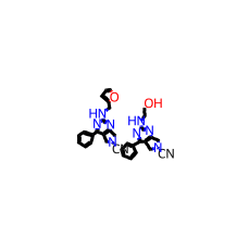 N#CN1Cc2nc(NCCO)nc(-c3ccccc3)c2C1.N#CN1Cc2nc(NCc3ccco3)nc(-c3ccccc3)c2C1